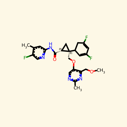 COCc1nc(C)ncc1OC[C@@]1(C2C=C(F)C=C(F)C2)C[C@H]1C(=O)Nc1cc(C)c(F)cn1